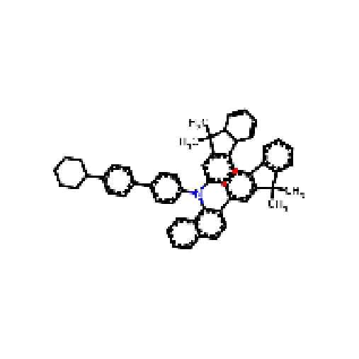 CC1(C)c2ccccc2-c2ccc(-c3ccc4ccccc4c3N(c3ccc(-c4ccc(C5CCCCC5)cc4)cc3)c3ccc4c(c3)C(C)(C)C3C=CC=CC43)cc21